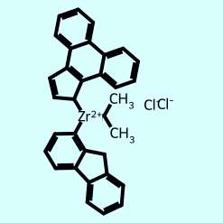 C[C](C)=[Zr+2]([c]1cccc2c1Cc1ccccc1-2)[CH]1C=Cc2c1c1ccccc1c1ccccc21.[Cl-].[Cl-]